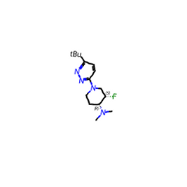 CN(C)[C@@H]1CCN(c2ccc(C(C)(C)C)nn2)C[C@@H]1F